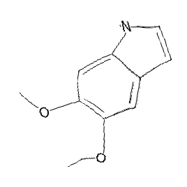 COc1cc2c(cc1OC)[N]C=C2